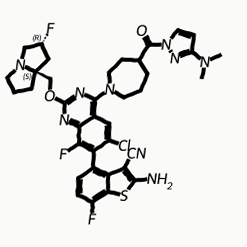 CN(C)c1ccn(C(=O)C2CCCN(c3nc(OC[C@@]45CCCN4C[C@H](F)C5)nc4c(F)c(-c5ccc(F)c6sc(N)c(C#N)c56)c(Cl)cc34)CC2)n1